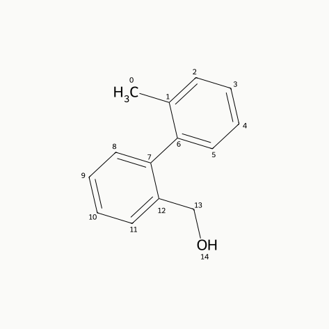 Cc1ccccc1-c1ccccc1CO